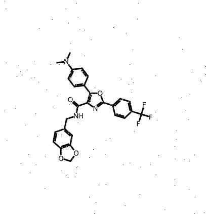 CN(C)c1ccc(-c2oc(-c3ccc(C(F)(F)F)cc3)nc2C(=O)NCc2ccc3c(c2)OCO3)cc1